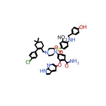 CC1(C)CCC(CN2CC[N+](c3ccc(C(N)=O)c(Oc4cnc5[nH]ccc5c4)c3)(S(=O)(=O)c3ccc(NCc4ccc(O)cc4)c([N+](=O)[O-])c3)CC2)=C(c2ccc(Cl)cc2)C1